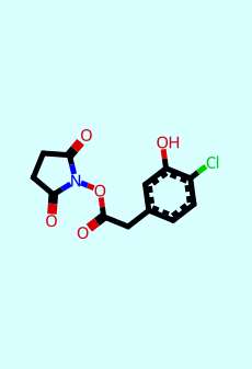 O=C(Cc1ccc(Cl)c(O)c1)ON1C(=O)CCC1=O